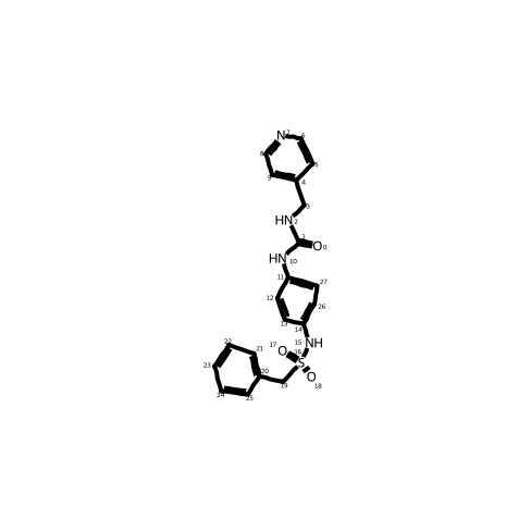 O=C(NCc1ccncc1)Nc1ccc(NS(=O)(=O)Cc2ccccc2)cc1